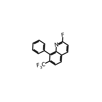 Fc1ccc2ccc(C(F)(F)F)c(-c3ccccc3)c2n1